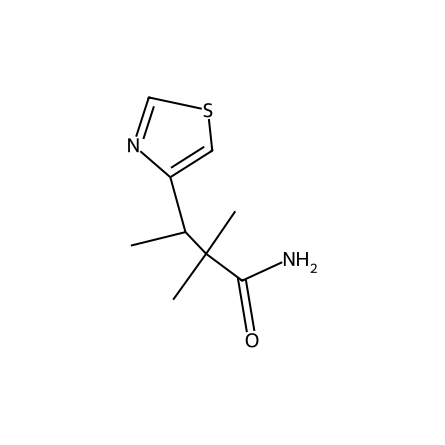 CC(c1cscn1)C(C)(C)C(N)=O